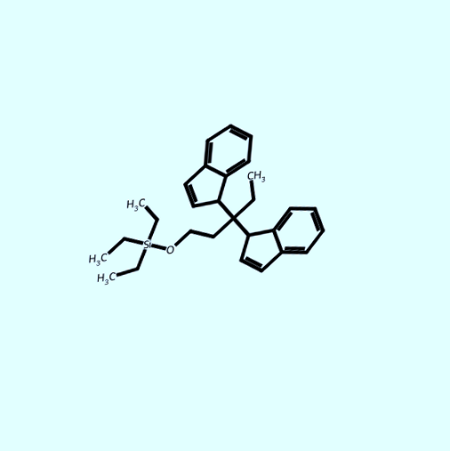 CCC(CCO[Si](CC)(CC)CC)(C1C=Cc2ccccc21)C1C=Cc2ccccc21